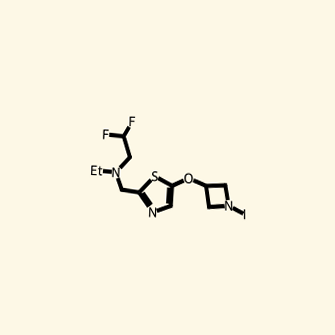 CCN(Cc1ncc(OC2CN(I)C2)s1)CC(F)F